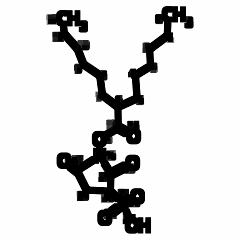 CCCCCCC(CCCCCC)C(=O)ON1C(=O)CC(S(=O)(=O)O)C1=O